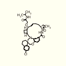 CC[C@@H]1CC/C=C/[C@H](OCC(=O)NC(C)C)[C@@H]2CC[C@H]2CN2C[C@@]3(CCCc4cc(Cl)ccc43)COc3ccc(cc32)C(=O)NS1(=O)=O